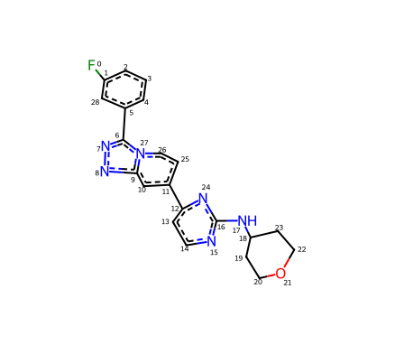 Fc1cccc(-c2nnc3cc(-c4ccnc(NC5CCOCC5)n4)ccn23)c1